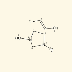 CC=CO.CCN1CCN(O)C1